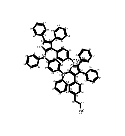 COc1ccc(-c2c(N(c3ccccc3)c3ccc(N(c4ccccc4)c4sc(-c5ccccc5)c(-c5ccccc5)c4-c4ccc(CCC(C)=O)cc4)cc3)sc(-c3ccccc3)c2-c2ccccc2)cc1